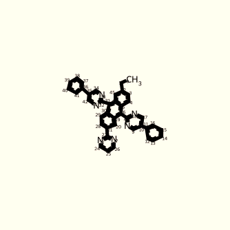 CCc1ccc2c(-c3ncc(-c4ccccc4)cn3)c3cc(-c4ncccn4)ccc3c(-c3ncc(-c4ccccc4)cn3)c2c1